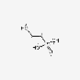 O=P(O)(O)CCO